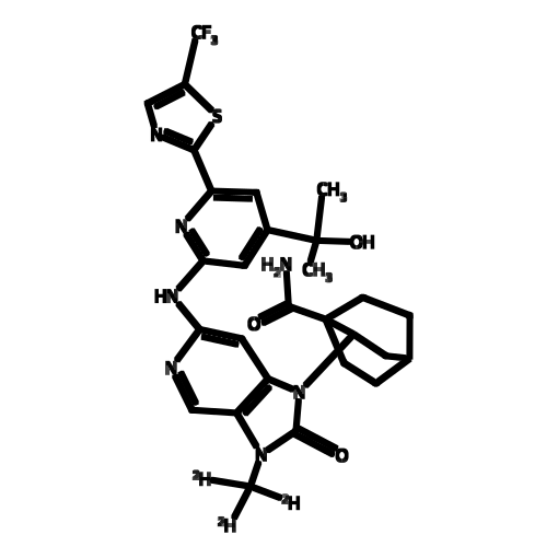 [2H]C([2H])([2H])n1c(=O)n(C2CC3CCC2(C(N)=O)CC3)c2cc(Nc3cc(C(C)(C)O)cc(-c4ncc(C(F)(F)F)s4)n3)ncc21